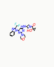 O=C(N1CC(Nc2cc(-n3c(C(F)F)nc4ccccc43)nc(N3CCOCC3)n2)C1)C1(O)CC1